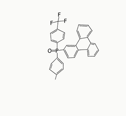 Cc1ccc(P(=O)(c2ccc(C(F)(F)F)cc2)c2ccc3c4ccccc4c4ccccc4c3c2)cc1